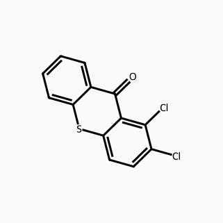 O=c1c2ccccc2sc2ccc(Cl)c(Cl)c12